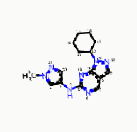 Cn1cc(Nc2ncc3cnn(C4CCCCC4)c3n2)cn1